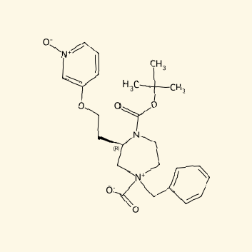 CC(C)(C)OC(=O)N1CC[N+](Cc2ccccc2)(C(=O)[O-])C[C@H]1CCOc1ccc[n+]([O-])c1